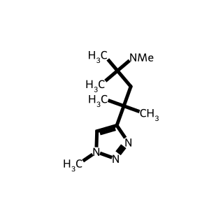 CNC(C)(C)CC(C)(C)c1cn(C)nn1